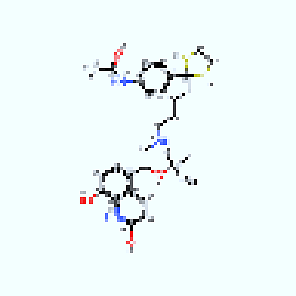 CC(C)(C)[Si](C)(C)O[C@@H](CNCCCCC1(c2ccc(NC(=O)C(F)(F)F)cc2)SCCS1)c1ccc(O)c2[nH]c(=O)ccc12